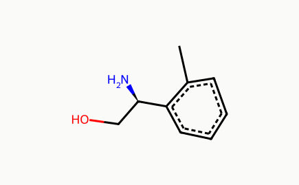 Cc1ccccc1[C@H](N)CO